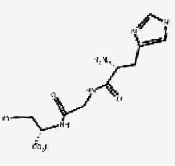 CC(C)C[C@H](NC(=O)CNC(=O)[C@H](N)Cc1c[nH]cn1)C(=O)O